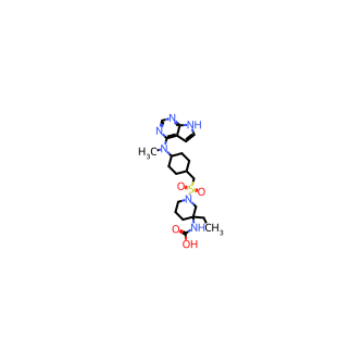 CCC1(NC(=O)O)CCCN(S(=O)(=O)CC2CCC(N(C)c3ncnc4[nH]ccc34)CC2)C1